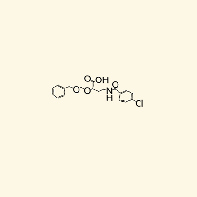 O=C(NCCC(OCOCc1ccccc1)C(=O)O)c1ccc(Cl)cc1